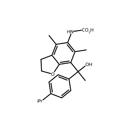 Cc1c2c(c(C(C)(O)c3ccc(C(C)C)cc3)c(C)c1NC(=O)O)OCC2